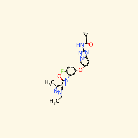 CCn1cc(C(=O)Nc2cc(Oc3ccc4nc(NC(=O)C5CC5)nn4c3)ccc2F)c(C)n1